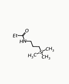 CCC(=O)NCCC[Si](C)(C)C